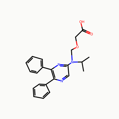 CC(C)N(COCC(=O)O)c1cnc(-c2ccccc2)c(-c2ccccc2)n1